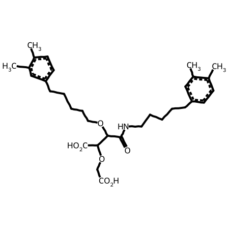 Cc1ccc(CCCCCNC(=O)C(OCCCCCc2ccc(C)c(C)c2)C(OCC(=O)O)C(=O)O)cc1C